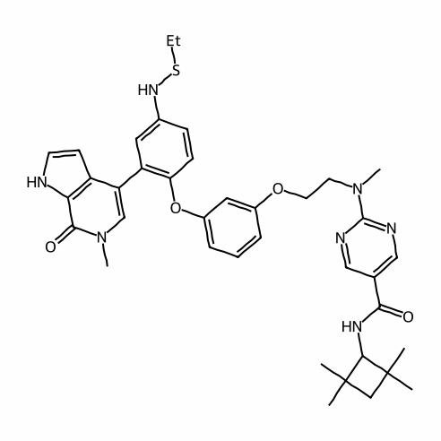 CCSNc1ccc(Oc2cccc(OCCN(C)c3ncc(C(=O)NC4C(C)(C)CC4(C)C)cn3)c2)c(-c2cn(C)c(=O)c3[nH]ccc23)c1